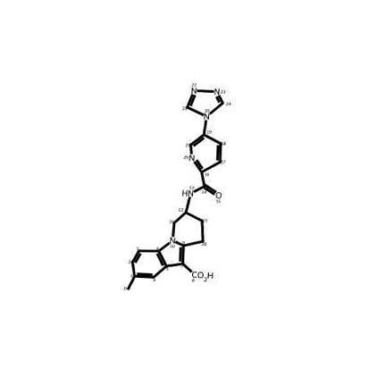 Cc1ccc2c(c1)c(C(=O)O)c1n2CC(NC(=O)c2ccc(-n3cnnc3)cn2)CC1